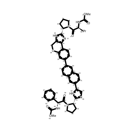 COC(=O)N[C@H](C(=O)N1CCC[C@H]1c1nc2c([nH]1)COc1cc(-c3ccc4cc(-c5cnc([C@@H]6CCCN6C(=O)[C@H](NC(=O)OC)c6ccccc6)[nH]5)ccc4c3)ccc1-2)C(C)C